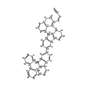 C#C/C=C\C1=C(C)c2c(cccc2-n2c3c(c4cc(-c5ccc6c7c(n(-c8ccccc8-c8c#cccc8)c6c5)CCC=C7)ccc42)C=CCC3)CO1